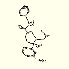 COc1cccc(C2(O)CCN(C(=O)Nc3ccccc3)CC2CN(C)C)c1